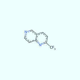 FC(F)(F)c1ccc2cnccc2n1